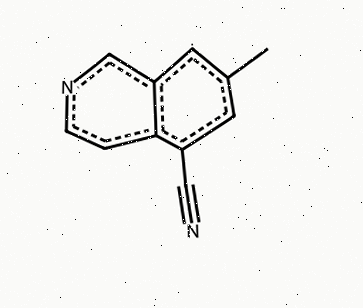 Cc1[c]c2cnccc2c(C#N)c1